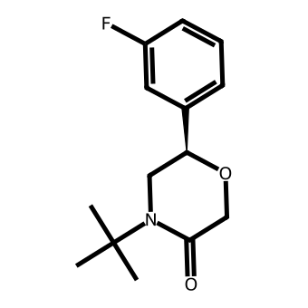 CC(C)(C)N1C[C@@H](c2cccc(F)c2)OCC1=O